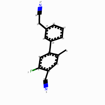 Cc1cc(C#N)c(F)cc1-c1cccc(CC#N)c1